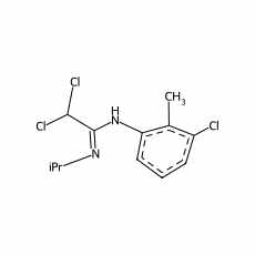 Cc1c(Cl)cccc1NC(=NC(C)C)C(Cl)Cl